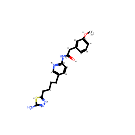 Nc1nnc(CCCCc2ccc(NC(=O)Cc3cccc(OC(F)(F)F)c3)nc2)s1